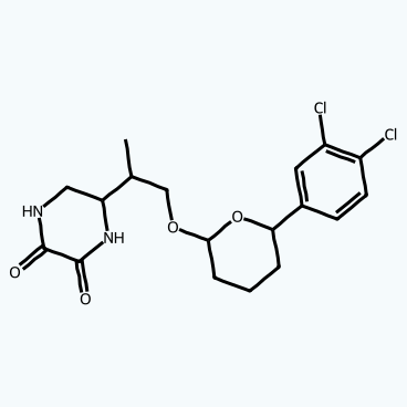 CC(COC1CCCC(c2ccc(Cl)c(Cl)c2)O1)C1CNC(=O)C(=O)N1